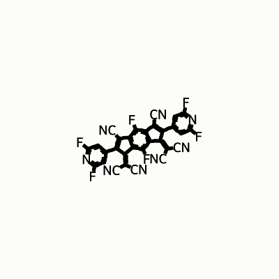 N#CC(C#N)=C1C(c2cc(F)nc(F)c2)=C(C#N)c2c(F)c3c(c(F)c21)C(=C(C#N)C#N)C(c1cc(F)nc(F)c1)=C3C#N